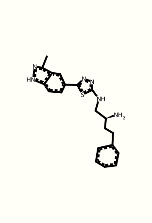 Cc1n[nH]c2ccc(-c3nnc(NC[C@@H](N)CCc4ccccc4)s3)cc12